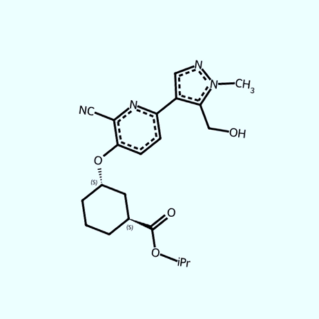 CC(C)OC(=O)[C@H]1CCC[C@H](Oc2ccc(-c3cnn(C)c3CO)nc2C#N)C1